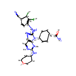 N#Cc1ccc(Nc2nc3cnc(NC4CCOCC4)nc3n2[C@H]2CC[C@@H](C(N)=O)CC2)c(F)c1F